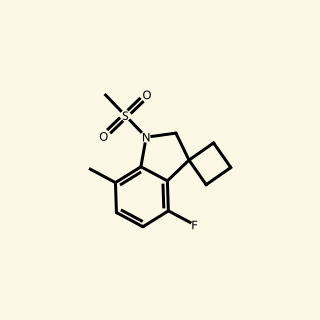 Cc1ccc(F)c2c1N(S(C)(=O)=O)CC21CCC1